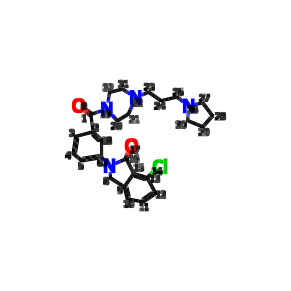 O=C(c1cccc(N2Cc3cccc(Cl)c3C2=O)c1)N1CCN(CCCN2CCCC2)CC1